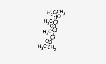 C=C(C)C(=O)Oc1ccc(-c2ccc3c(oc4c(C)c(OC(=O)C(=C)C)ccc43)c2C)cc1